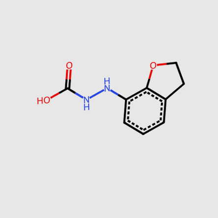 O=C(O)NNc1cccc2c1OCC2